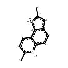 Cc1ccc2c(ccc3cc(C)[nH]c32)n1